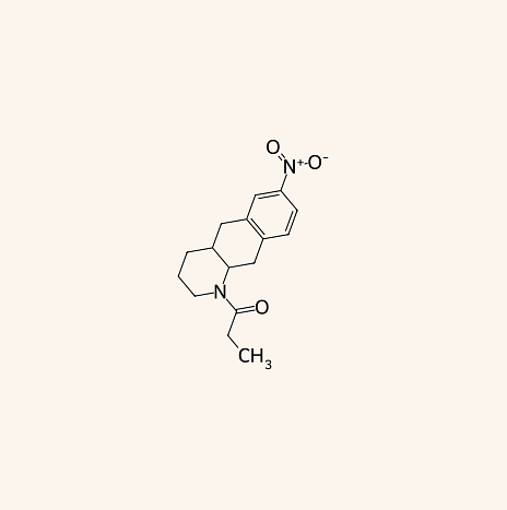 CCC(=O)N1CCCC2Cc3cc([N+](=O)[O-])ccc3CC21